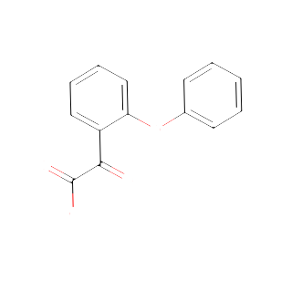 O=C(O)C(=O)c1ccccc1Oc1ccccc1